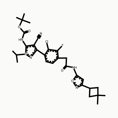 CC(C)n1nc(-c2ccc(CC(=O)Nc3cc(C4CC(C)(C)C4)no3)c(F)c2Cl)c(C#N)c1NC(=O)OC(C)(C)C